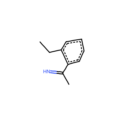 CCc1ccccc1C(C)=N